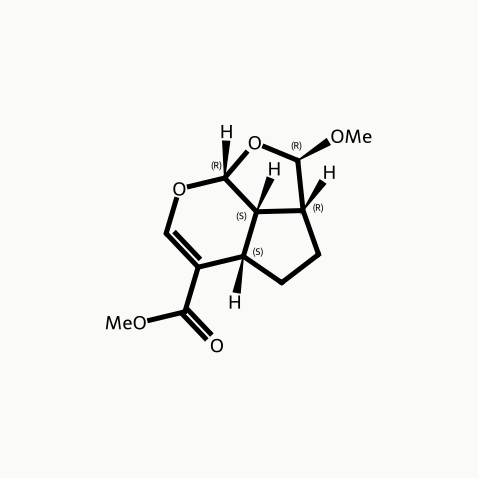 COC(=O)C1=CO[C@@H]2O[C@@H](OC)[C@@H]3CC[C@H]1[C@H]23